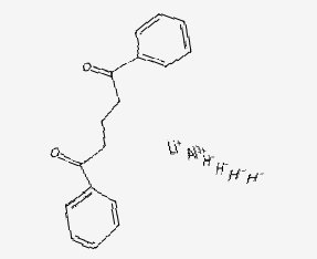 O=C(CCCC(=O)c1ccccc1)c1ccccc1.[Al+3].[H-].[H-].[H-].[H-].[Li+]